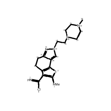 CNc1sc2c(c1C(=N)Cl)CCc1nn(CCN3CCN(C)CC3)cc1-2